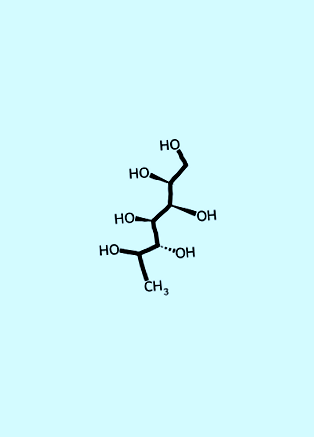 CC(O)[C@@H](O)[C@@H](O)[C@H](O)[C@@H](O)CO